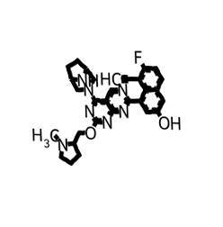 C#Cc1c(F)ccc2cc(O)cc(-c3ncc4c(N5CC6CCC(C5)N6)nc(OCC5CCCN5C)nc4n3)c12